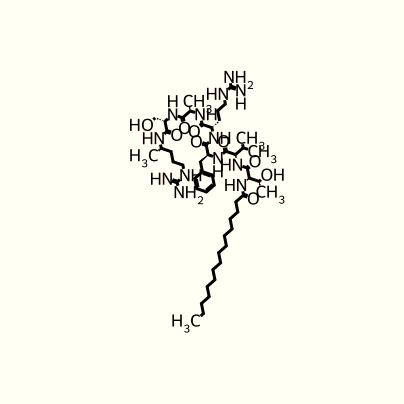 CCCCCCCCCCCCCCCC(=O)N[C@H](C(=O)N[C@H](C(=O)N[C@@H](Cc1ccccc1)C(=O)N[C@@H](CCCNC(=N)N)C(=O)N[C@@H](C)C(=O)N[C@@H](CO)C(=O)N[C@H](C)CCCNC(=N)N)C(C)C)[C@@H](C)O